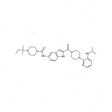 CCC(C)(C)N1CCN(C(=O)Nc2ccc3[nH]c(C(=O)N4CCN(c5ncccc5NC(C)C)CC4)cc3c2)CC1